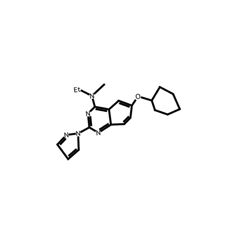 CCN(C)c1nc(-n2cccn2)nc2ccc(OC3CCCCC3)cc12